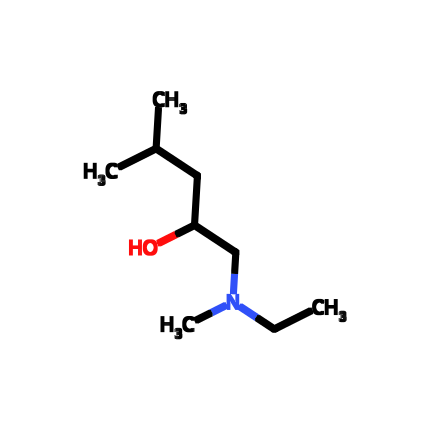 CCN(C)CC(O)CC(C)C